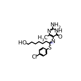 Cc1nc(N)[nH]c(=O)c1/N=C(\CCCCCCO)Sc1ccc(Cl)cc1